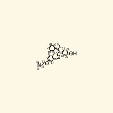 CCC(=C(C(=O)Cc1ccc(OCCN(C)C)cc1)c1ccc(O)cc1)c1ccccc1